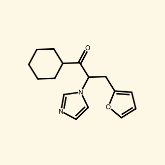 O=C(C1CCCCC1)C(Cc1ccco1)n1ccnc1